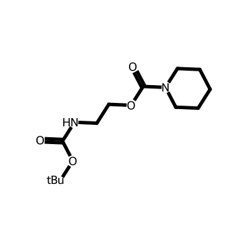 CC(C)(C)OC(=O)NCCOC(=O)N1CCCCC1